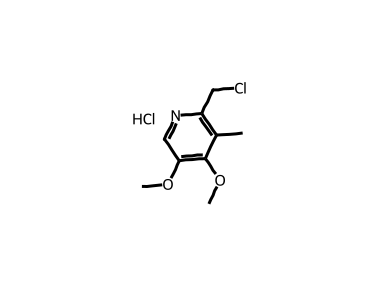 COc1cnc(CCl)c(C)c1OC.Cl